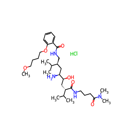 COCCCCOc1ccccc1C(=O)NC[C@@H](C[C@H](N)[C@@H](O)C[C@H](C(=O)NCCCC(=O)N(C)C)C(C)C)C(C)C.Cl